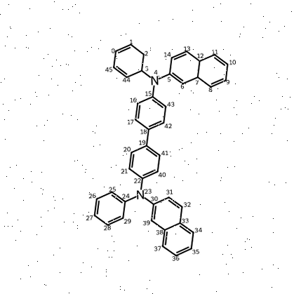 C1=CCC(N(C2=CC3C=CC=CC3C=C2)c2ccc(-c3ccc(N(c4ccccc4)c4ccc5ccccc5c4)cc3)cc2)C=C1